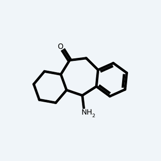 NC1c2ccccc2CC(=O)C2CCCCC21